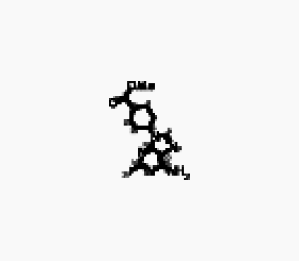 COC(=O)C1CCC(n2cnc3c(N)nc(I)nc32)CC1